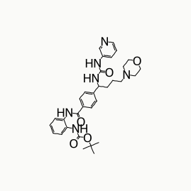 CC(C)(C)OC(=O)Nc1ccccc1NC(=O)c1ccc(C(CCCN2CCOCC2)NC(=O)Nc2cccnc2)cc1